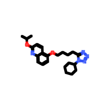 CC(C)Oc1ccc2c(OCCCCc3nnnn3C3CCCCC3)cccc2n1